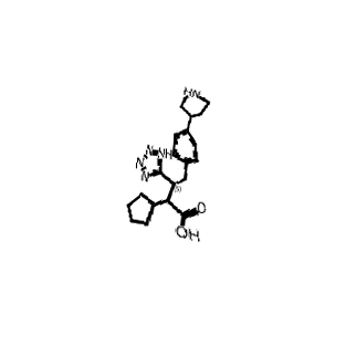 O=C(O)C(C1CCCC1)[C@H](Cc1ccc(C2CCNCC2)cc1)c1nnn[nH]1